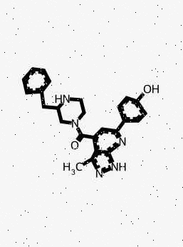 Cc1n[nH]c2nc(-c3ccc(O)cc3)cc(C(=O)N3CCNC(Cc4ccccc4)C3)c12